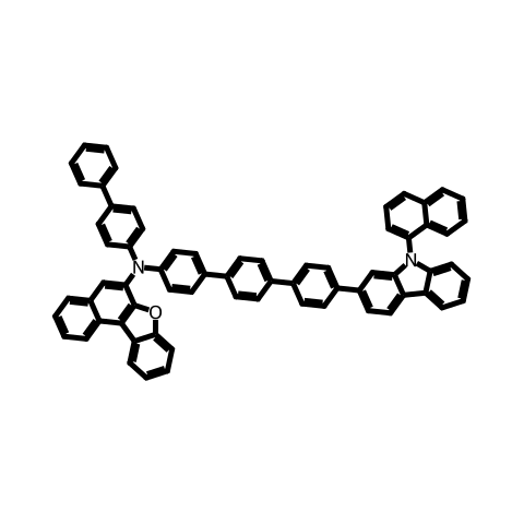 c1ccc(-c2ccc(N(c3ccc(-c4ccc(-c5ccc(-c6ccc7c8ccccc8n(-c8cccc9ccccc89)c7c6)cc5)cc4)cc3)c3cc4ccccc4c4c3oc3ccccc34)cc2)cc1